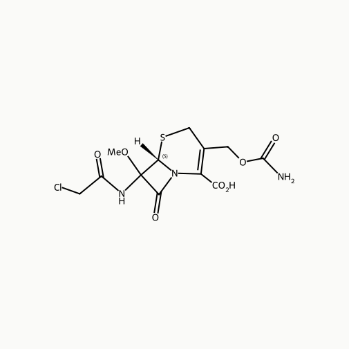 COC1(NC(=O)CCl)C(=O)N2C(C(=O)O)=C(COC(N)=O)CS[C@H]21